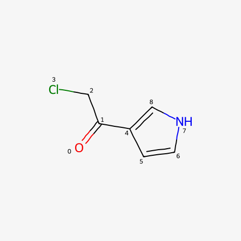 O=C(CCl)c1cc[nH]c1